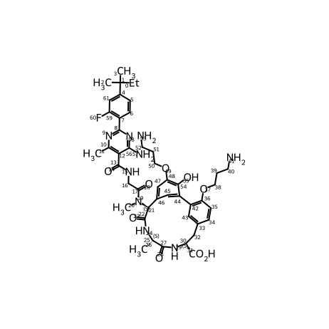 CCC(C)(C)c1ccc(-c2nc(C)c(C(=O)NCC(=O)N(C)[C@@H]3C(=O)N[C@@H](C)C(=O)N[C@H](C(=O)O)Cc4ccc(OCCCN)c(c4)-c4cc3cc(OCCCN)c4O)c(N)n2)c(F)c1